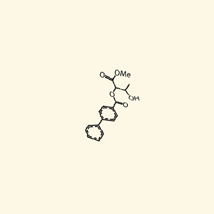 COC(=O)C(OC(=O)c1ccc(-c2ccccc2)cc1)C(C)O